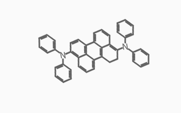 c1ccc(N(C2=c3cccc4c3c(c3cccc5c(N(c6ccccc6)c6ccccc6)ccc4c53)CC2)c2ccccc2)cc1